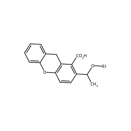 CCOC(C)c1ccc2c(c1C(=O)O)Cc1ccccc1O2